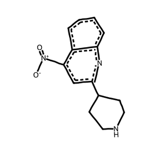 O=[N+]([O-])c1cc(C2CCNCC2)nc2ccccc12